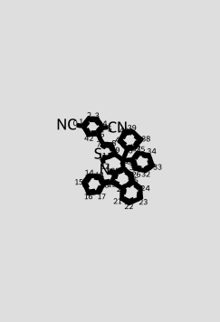 N#Cc1ccc(C#N)c(-c2cc3c(s2)-n2c4ccccc4c4c5ccccc5cc(c42)C3(c2ccccc2)c2ccccc2)c1